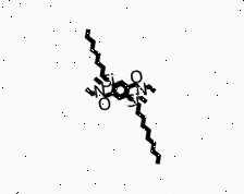 CCCCCCCCCC[Si](C)(C)c1cc(C(=O)N(CC)CC)c([Si](C)(C)CCCCCCCC)cc1C(=O)N(CC)CC